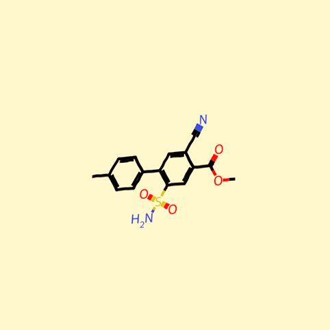 COC(=O)c1cc(S(N)(=O)=O)c(-c2ccc(C)cc2)cc1C#N